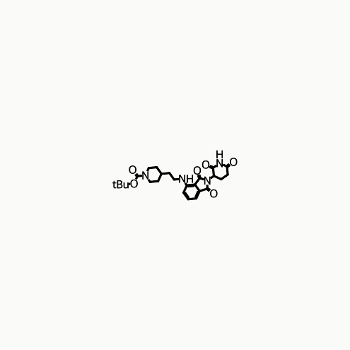 CC(C)(C)OC(=O)N1CCC(CCNc2cccc3c2C(=O)N(C2CCC(=O)NC2=O)C3=O)CC1